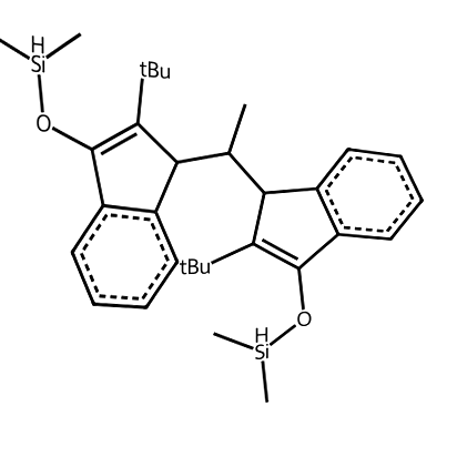 CC(C1C(C(C)(C)C)=C(O[SiH](C)C)c2ccccc21)C1C(C(C)(C)C)=C(O[SiH](C)C)c2ccccc21